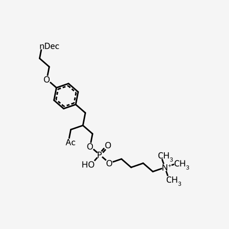 CCCCCCCCCCCCOc1ccc(CC(COP(=O)(O)OCCCC[N+](C)(C)C)CC(C)=O)cc1